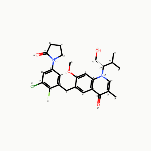 COc1cc2c(cc1Cc1cc(N3CCCC3=O)cc(Cl)c1F)c(=O)c(C)cn2[C@H](CO)C(C)C